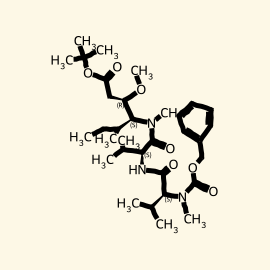 CCC(C)[C@@H]([C@@H](CC(=O)OC(C)(C)C)OC)N(C)C(=O)[C@@H](NC(=O)[C@H](C(C)C)N(C)C(=O)OCc1ccccc1)C(C)C